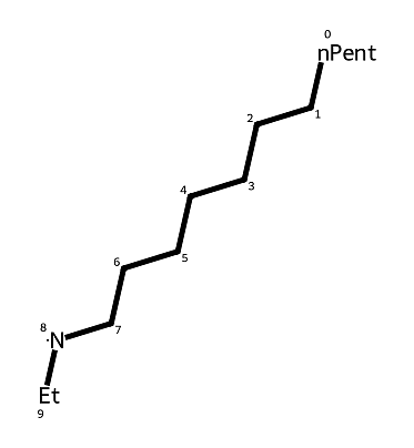 CCCCCCCCCCCC[N]CC